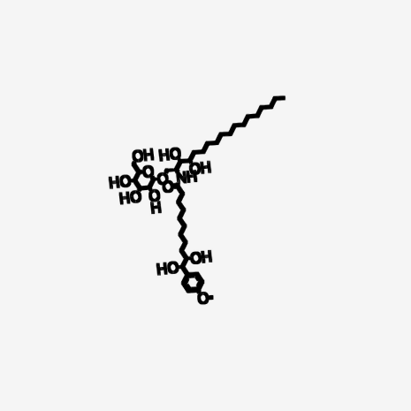 CCCCCCCCCCCCCC[C@@H](O)[C@@H](O)[C@H](CO[C@H]1OC(CO)[C@H](O)C(O)[C@@H]1O)NC(=O)CCCCCCCC[C@@H](O)[C@H](O)c1ccc(OC)cc1